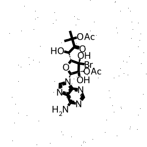 CC(=O)OC(C)(C)C(=O)C(O)[C@H]1O[C@@H](n2cnc3c(N)ncnc32)[C@@](O)(OC(C)=O)[C@@]1(O)Br